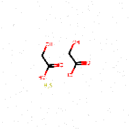 O=C(O)CO.O=C(O)CO.S